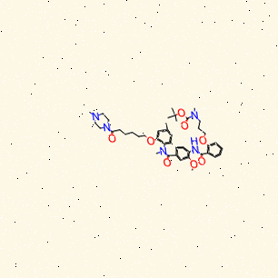 COc1cc(C(=O)N(C)c2ccc(C)cc2OCCCCCC(=O)N2CCN(C)CC2)ccc1NC(=O)c1ccccc1OCCCN(C)C(=O)OC(C)(C)C